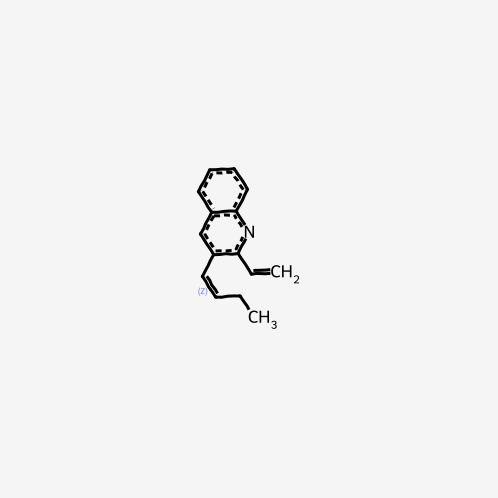 C=Cc1nc2ccccc2cc1/C=C\CC